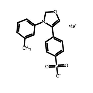 Cc1cccc(N2COC=C2c2ccc(S(=O)(=O)[O-])cc2)c1.[Na+]